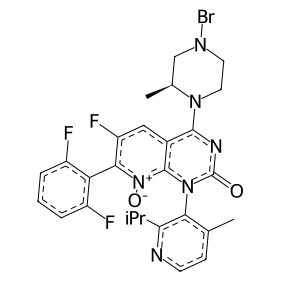 Cc1ccnc(C(C)C)c1-n1c(=O)nc(N2CCN(Br)C[C@@H]2C)c2cc(F)c(-c3c(F)cccc3F)[n+]([O-])c21